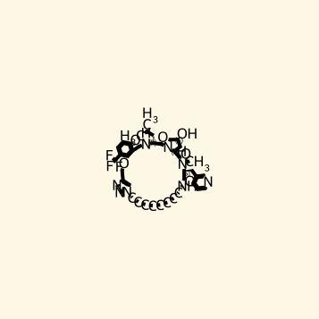 CC(C)C[C@H]1NC(=O)c2cccc(C(F)(F)F)c2OCc2cn(nn2)CCCCCCCCNC(=O)[C@H](Cc2cccnc2)N(C)C(=O)[C@H]2C[C@H](O)CN2C1=O